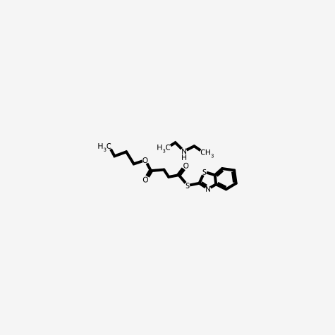 CCCCOC(=O)CCC(=O)Sc1nc2ccccc2s1.CCNCC